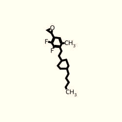 CCCCCC1CCC(CCc2c(C)cc(C3CO3)c(F)c2F)CC1